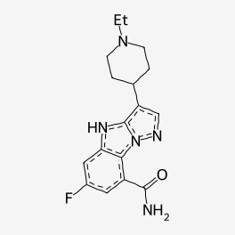 CCN1CCC(c2cnn3c2[nH]c2cc(F)cc(C(N)=O)c23)CC1